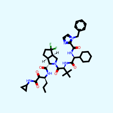 CCC[C@H](NC(=O)[C@@H]1[C@H]2CCC(F)(F)[C@H]2CN1C(=O)[C@@H](NC(=O)[C@@H](NC(=O)c1nccn1Cc1ccccc1)C1CCCCC1)C(C)(C)C)C(=O)C(=O)NC1CC1